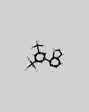 FC(F)(F)c1cc(-c2cccc3c2O[CH]C3)cc(C(F)(F)F)c1